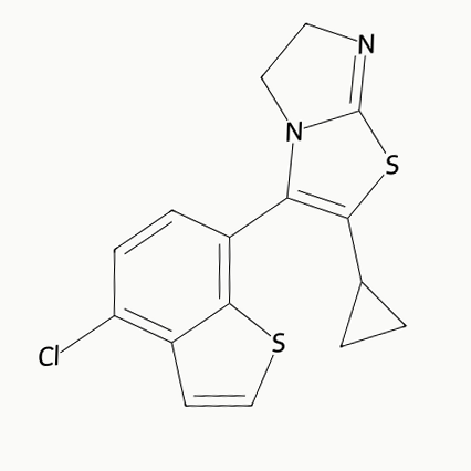 Clc1ccc(C2=C(C3CC3)SC3=NCCN32)c2sccc12